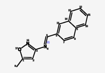 Cc1cc(/N=C/c2ccc3ccccc3c2)no1